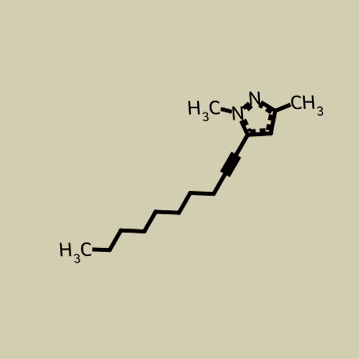 CCCCCCCCC#Cc1cc(C)nn1C